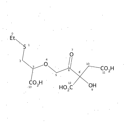 CCSCC(OCC(=O)C(O)(CC(=O)O)C(=O)O)C(=O)O